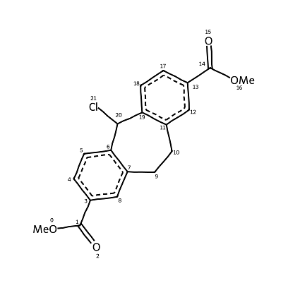 COC(=O)c1ccc2c(c1)CCc1cc(C(=O)OC)ccc1C2Cl